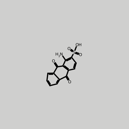 Nc1c(S(=O)(=O)O)c[c]c2c1C(=O)c1ccccc1C2=O